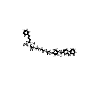 CC(C)C[C@H](NC(=O)CCCc1ccccc1)C(=O)NCCOCCOCCNc1ccc(NC(=O)c2ccn3c(n2)nc2ccccc23)cn1